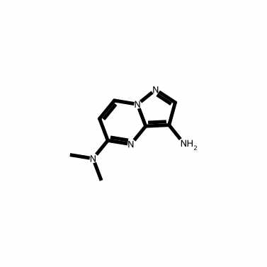 CN(C)c1ccn2ncc(N)c2n1